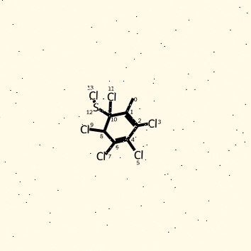 CC1=C(Cl)C(Cl)=C(Cl)C(Cl)C1(Cl)SCl